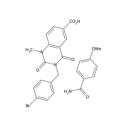 COc1ccc(C(N)=O)cc1.Cn1c(=O)n(Cc2ccc(Br)cc2)c(=O)c2cc(C(=O)O)ccc21